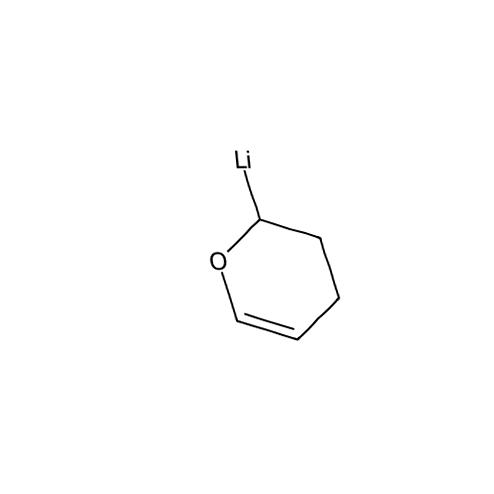 [Li][CH]1CCC=CO1